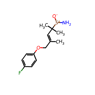 CC(=CC(C)(C)[S+](N)[O-])COc1ccc(F)cc1